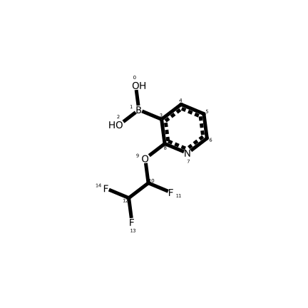 OB(O)c1cccnc1OC(F)C(F)F